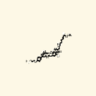 C=CCOc1ccc(C(CC(=O)N=C(Cc2cc(Cl)c(NC(=O)CNCCCCC=CC(=O)OC(C)(C)C)c(Cl)c2)N(C(=O)O)C(C)(C)C)=NOCC)cc1